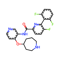 O=C(Nc1cnccc1OC1CCCNCC1)c1ccc(F)c(-c2c(F)cccc2F)n1